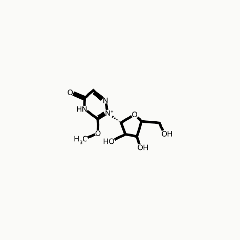 COc1[nH]c(=O)cn[n+]1[C@@H]1OC(CO)C(O)C1O